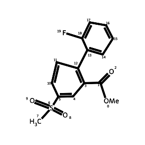 COC(=O)c1cc(S(C)(=O)=O)ccc1-c1ccccc1F